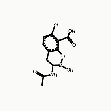 CC(=O)N[C@H]1Cc2ccc(Cl)c(C(=O)O)c2OB1O